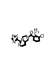 Cc1c(Cl)cccc1C(=O)N1CCN2C(=C=CN=C2c2ncns2)C1